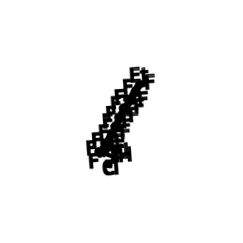 CCC(F)C(F)(F)C(F)(F)C(F)(F)C(F)(F)C(F)(F)C(F)(F)C(F)(F)C(F)(F)[SiH](Cl)Cl